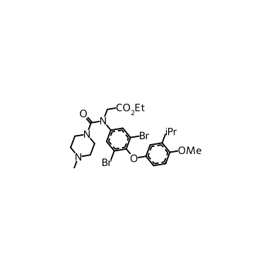 CCOC(=O)CN(C(=O)N1CCN(C)CC1)c1cc(Br)c(Oc2ccc(OC)c(C(C)C)c2)c(Br)c1